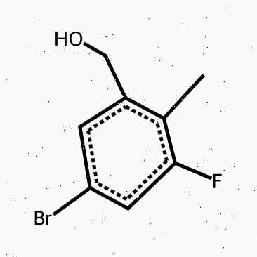 Cc1c(F)cc(Br)cc1CO